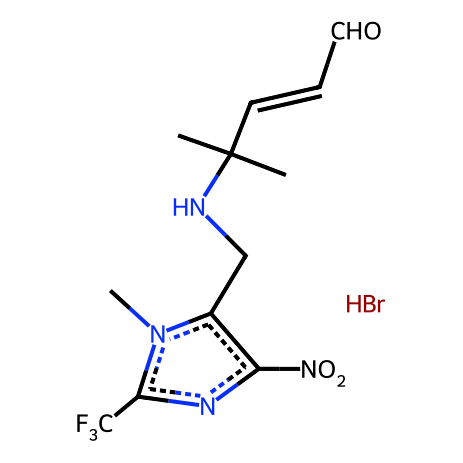 Br.Cn1c(C(F)(F)F)nc([N+](=O)[O-])c1CNC(C)(C)C=CC=O